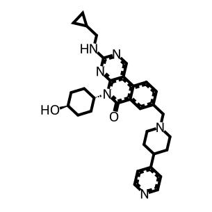 O=c1c2cc(CN3CCC(c4ccncc4)CC3)ccc2c2cnc(NCC3CC3)nc2n1[C@H]1CC[C@H](O)CC1